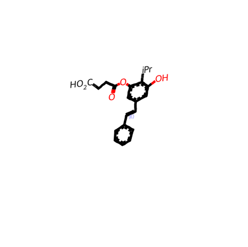 CC(C)c1c(O)cc(/C=C/c2ccccc2)cc1OC(=O)CCC(=O)O